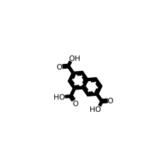 O=C(O)c1cc(C(=O)O)c2cc(C(=O)O)ccc2c1